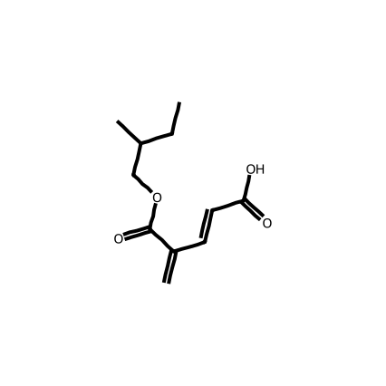 C=C(C=CC(=O)O)C(=O)OCC(C)CC